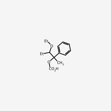 CCOC(CC)C(C)(OC(=O)O)c1ccccc1